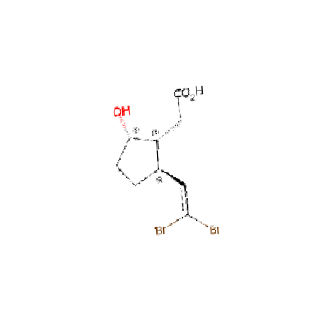 O=C(O)C[C@H]1[C@@H](O)CC[C@@H]1C=C(Br)Br